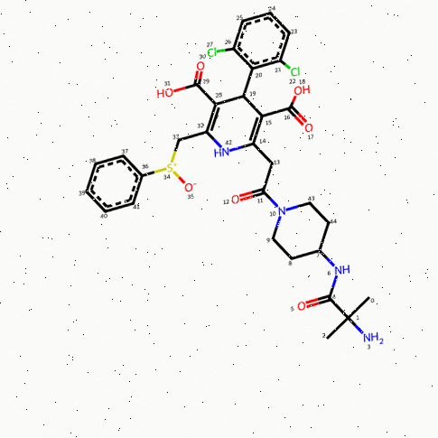 CC(C)(N)C(=O)NC1CCN(C(=O)CC2=C(C(=O)O)C(c3c(Cl)cccc3Cl)C(C(=O)O)=C(C[S+]([O-])c3ccccc3)N2)CC1